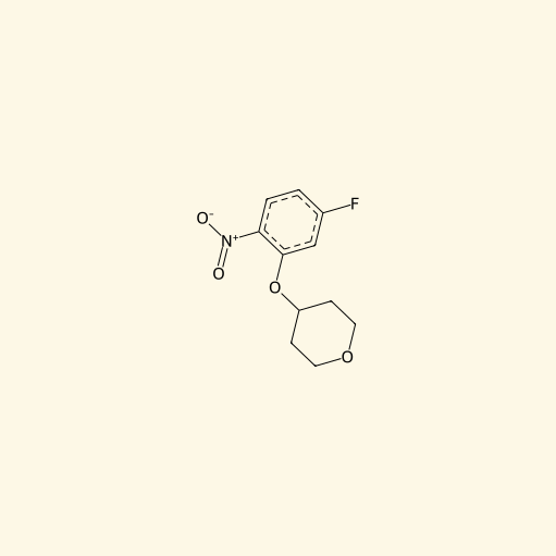 O=[N+]([O-])c1ccc(F)cc1OC1CCOCC1